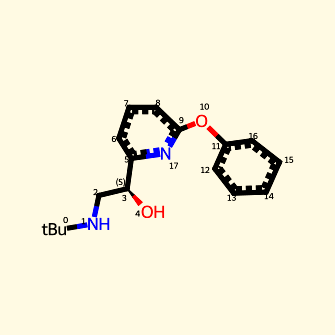 CC(C)(C)NC[C@H](O)c1cccc(Oc2ccccc2)n1